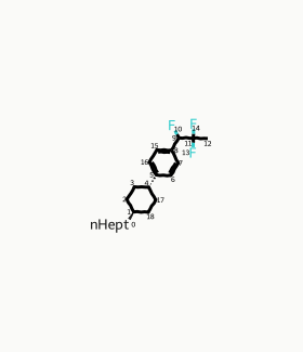 CCCCCCC[C@H]1CC[C@H](c2ccc(C(F)C(C)(F)F)cc2)CC1